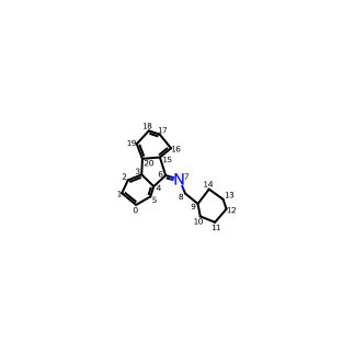 c1ccc2c(c1)C(=NCC1CCCCC1)c1ccccc1-2